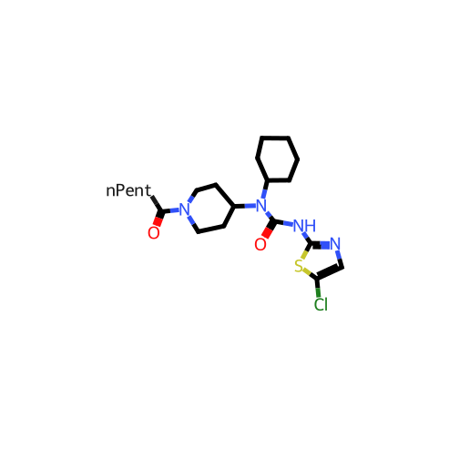 CCCCCC(=O)N1CCC(N(C(=O)Nc2ncc(Cl)s2)C2CCCCC2)CC1